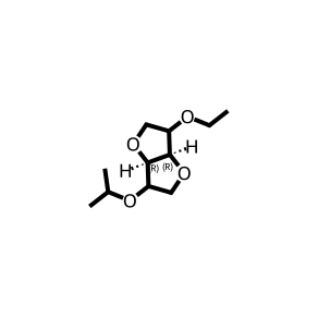 CCOC1CO[C@@H]2C(OC(C)C)CO[C@H]12